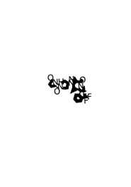 O=C1CC[C@@H](C(=O)N2CCC(n3ncc(C(=O)N4CC[C@@H](c5ccccc5C(F)(F)F)C4)c3C3CC3)CC2)N1